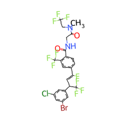 CN(CC(F)(F)F)C(=O)CNC(=O)c1ccc(C(F)=CC(c2cc(Cl)cc(Br)c2)C(F)(F)F)cc1C(F)(F)F